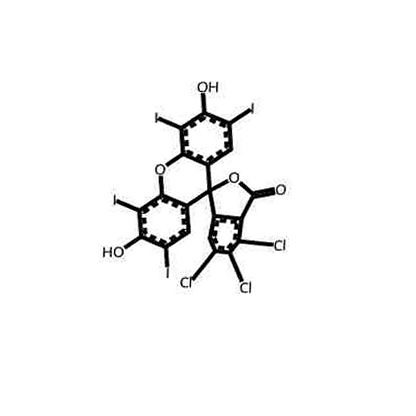 O=C1OC2(c3cc(I)c(O)c(I)c3Oc3c2cc(I)c(O)c3I)c2cc(Cl)c(Cl)c(Cl)c21